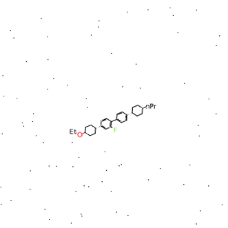 CCC[C@H]1CC[C@H](c2ccc(-c3ccc([C@H]4CC[C@H](OCC)CC4)cc3F)cc2)CC1